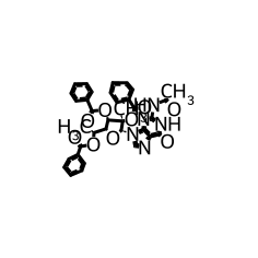 CC(=O)Nc1nc2c(ncn2[C@@H]2O[C@H]([C@@H](C)OC(=O)c3ccccc3)[C@@H](OC(=O)c3ccccc3)[C@@]2(C)OC(=O)c2ccccc2)c(=O)[nH]1